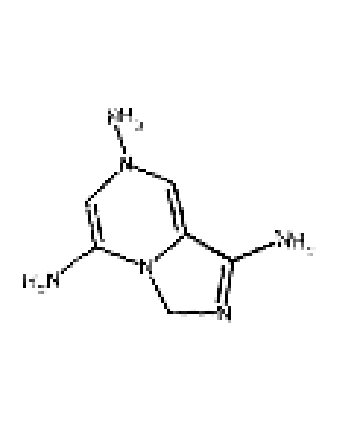 NC1=CN(N)C=C2C(N)=NCN12